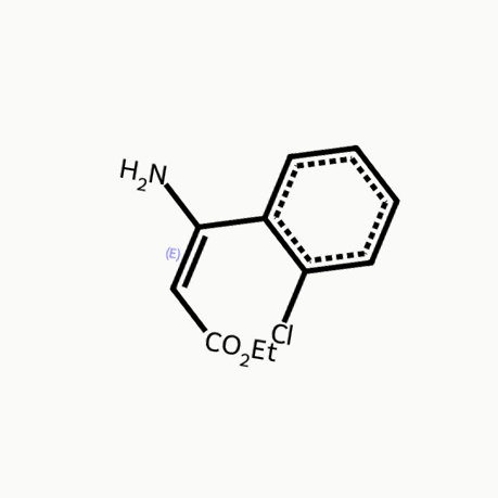 CCOC(=O)/C=C(/N)c1ccccc1Cl